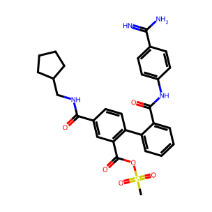 CS(=O)(=O)OC(=O)c1cc(C(=O)NCC2CCCC2)ccc1-c1ccccc1C(=O)Nc1ccc(C(=N)N)cc1